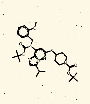 COc1ccccc1CN(C(=O)OC(C)(C)C)c1cc(SC2CCN(C(=O)OC(C)(C)C)CC2)nn2c(C(C)C)cnc12